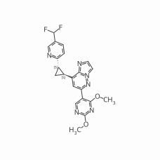 COc1ncc(-c2cc([C@H]3C[C@@H]3c3ccc(C(F)F)cn3)c3nccn3n2)c(OC)n1